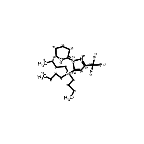 CCC[CH2][Sn]([CH2]CCC)([CH2]CCC)[c]1cc(C(F)(F)F)nn1C1CCCCO1